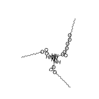 CCCCCCCCCCCCCCCOCc1ccccc1OCCCNc1nc(NCCCOc2ccccc2COCCCCCCCCCCCCCCC)nc(NCCCOc2ccccc2OCCOCCOCCOCCOCCCCCCCCCCCC)n1